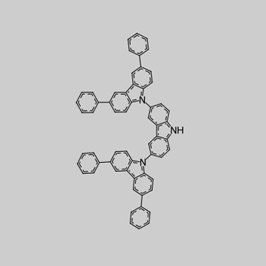 c1ccc(-c2ccc3c(c2)c2cc(-c4ccccc4)ccc2n3-c2ccc3[nH]c4ccc(-n5c6ccc(-c7ccccc7)cc6c6cc(-c7ccccc7)ccc65)cc4c3c2)cc1